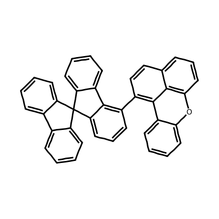 c1ccc2c(c1)Oc1cccc3ccc(-c4cccc5c4-c4ccccc4C54c5ccccc5-c5ccccc54)c-2c13